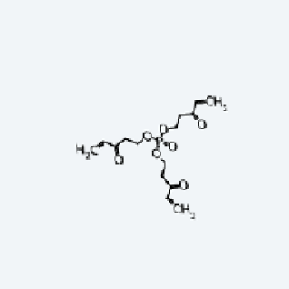 C=CC(=O)CCOP(=O)(OCCC(=O)C=C)OCCC(=O)C=C